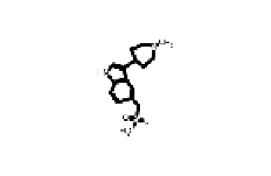 CN1CCC(c2c[nH]c3ccc(CS(C)(=O)=O)cc23)CC1